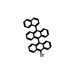 Brc1c2ccccc2c(-c2c3ccccc3c(-c3cccc4ccccc34)c3ccccc23)c2ccccc12